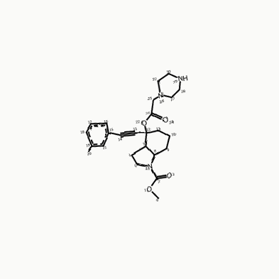 COC(=O)N1CCC2C1CCCC2(C#Cc1cccc(C)c1)OC(=O)CN1CCNCC1